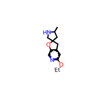 CCOc1cc2c(cn1)OC1(CNC(C)C1)C2